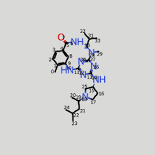 Cc1ccc(C(N)=O)cc1Nc1nc(N[C@@H]2CCN(C(C)CC(C)C)C2)nc(N(C)CC(C)C)n1